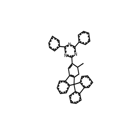 CC1CC2=C(C=C1c1nc(-c3ccccc3)nc(-c3ccccc3)n1)c1ccccc1C21c2ccccc2-c2ccccc21